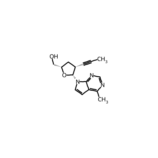 CC#C[C@H]1C[C@@H](CO)O[C@H]1n1ccc2c(C)ncnc21